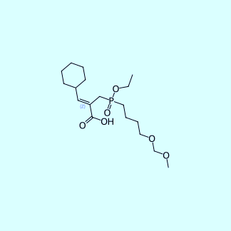 CCOP(=O)(CCCCOCOC)C/C(=C\C1CCCCC1)C(=O)O